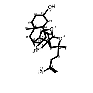 C=C(CCC1(C)OC2OC3CC1C2(CCC)C3C12CC3(C)CCC(O)CC3CC1O2)C(C)C